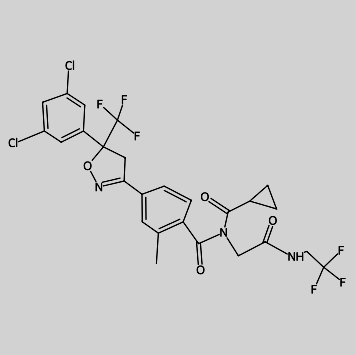 Cc1cc(C2=NOC(c3cc(Cl)cc(Cl)c3)(C(F)(F)F)C2)ccc1C(=O)N(CC(=O)NCC(F)(F)F)C(=O)C1CC1